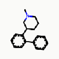 CN1CCCC(c2ccccc2-c2ccccc2)C1